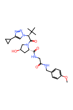 COc1ccc(CNC(=O)CNC(=O)[C@@H]2C[C@@H](O)CN2C(=O)[C@@H](n2cc(C3CC3)nn2)C(C)(C)C)cc1